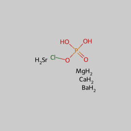 O=P(O)(O)OCl.[BaH2].[CaH2].[MgH2].[SrH2]